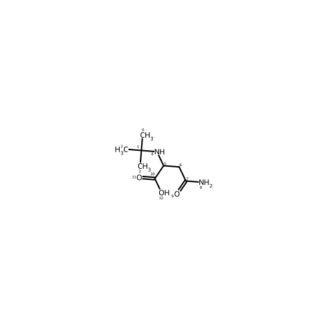 CC(C)(C)NC(CC(N)=O)C(=O)O